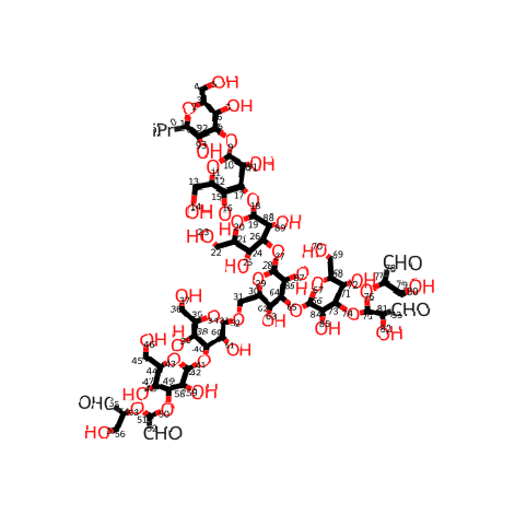 CC(C)C1OC(CO)C(O)C(OC2OC(CO)C(O)C(OC3OC(CO)C(O)C(OC4OC(COC5OC(CO)C(O)C(OC6OC(CO)C(O)C(OC(C=O)OC(C=O)CO)C6O)C5O)C(O)C(OC5OC(CO)C(O)C(OC(OC(C=O)CO)C(O)C=O)C5O)C4O)C3O)C2O)C1O